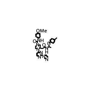 COc1ccc(NC(=O)N2CCN(c3ccnc(-n4ccnc4)n3)C(CC(=O)NC(C)Oc3ccc(C)cc3)C2)cc1